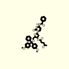 COc1ccc(C(OCC2OC(n3ccc(NC(=O)c4ccccc4)nc3=O)CC2OC(=O)CCC(C)=O)(c2ccccc2)c2ccc(OC)cc2)cc1